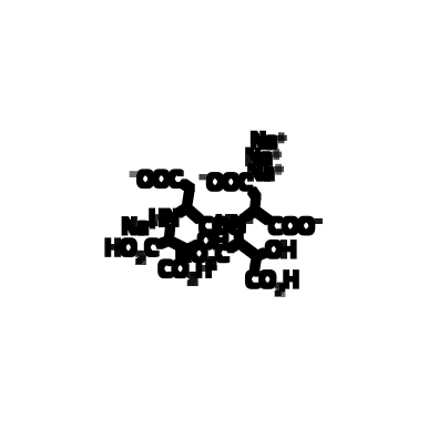 O=C([O-])CC(NC(C(=O)O)C(O)C(=O)O)C(=O)[O-].O=C([O-])CC(NC(C(=O)O)C(O)C(=O)O)C(=O)[O-].[Na+].[Na+].[Na+].[Na+]